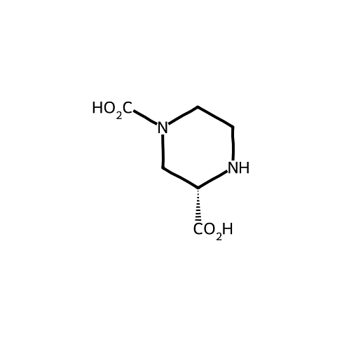 O=C(O)[C@@H]1CN(C(=O)O)CCN1